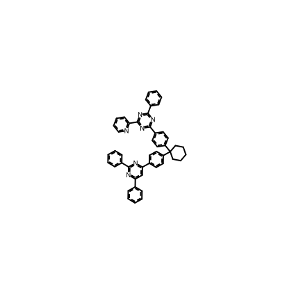 c1ccc(-c2cc(-c3ccc(C4(c5ccc(-c6nc(-c7ccccc7)nc(-c7ccccn7)n6)cc5)CCCCC4)cc3)nc(-c3ccccc3)n2)cc1